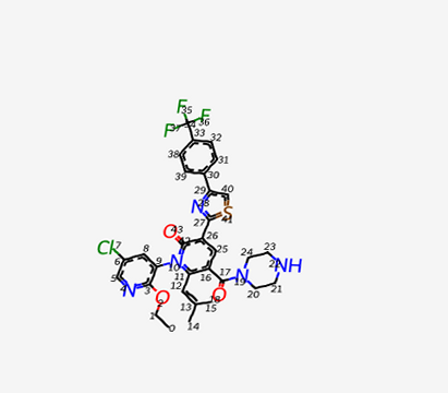 CCOc1ncc(Cl)cc1-n1c(C=C(C)C)c(C(=O)N2CCNCC2)cc(-c2nc(-c3ccc(C(F)(F)F)cc3)cs2)c1=O